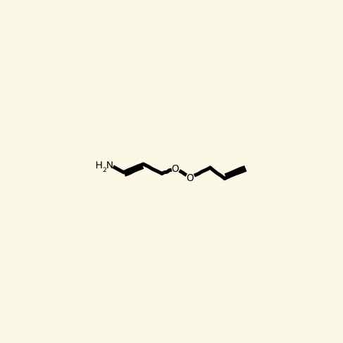 C=CCOOCC=CN